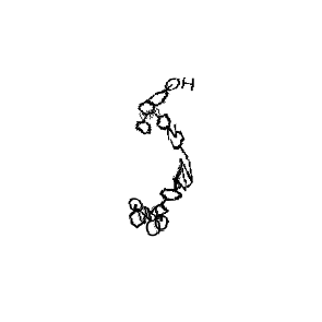 O=C1C=C(c2ccc(N3CCN(CC4CCN(c5ccc([C@@H]6c7ccc(O)cc7CC[C@@H]6c6ccccc6)cc5)CC4)CC3)cc2)CN1N1C(=O)CCCC1=O